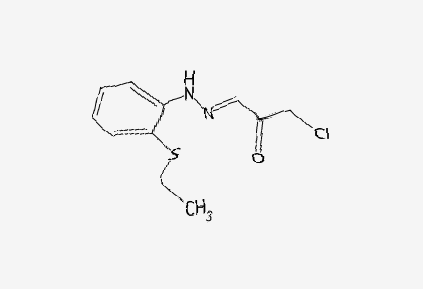 CCSc1ccccc1NN=CC(=O)CCl